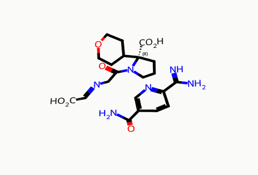 N=C(N)c1ccc(C(N)=O)cn1.O=C(O)C=NCC(=O)N1CCC[C@]1(C(=O)O)C1CCOCC1